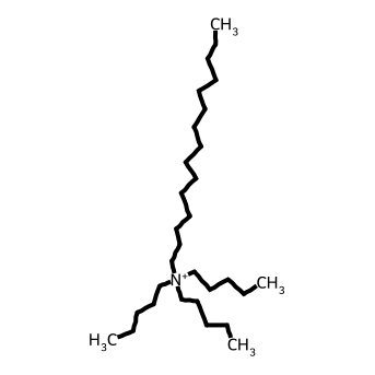 CCCCCCCCCCCCCCC[N+](CCCCC)(CCCCC)CCCCC